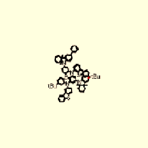 CC(C)(C)c1ccc2c(c1)N(c1ccc3sc4ccccc4c3c1)c1cc(N3c4ccc(C(C)(C)C)cc4C4(C)CCCCC34C)cc3c1B2c1ccc(N2c4ccc(-c5ccccc5)cc4C4(C)CCCCC24C)cc1N3c1cccc2c1sc1ccccc12